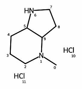 CN1CCCC2NCCC21.Cl.Cl